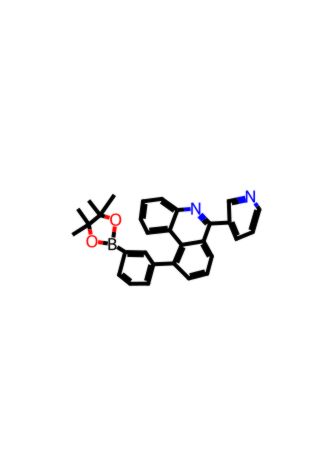 CC1(C)OB(c2cccc(-c3cccc4c(-c5cccnc5)nc5ccccc5c34)c2)OC1(C)C